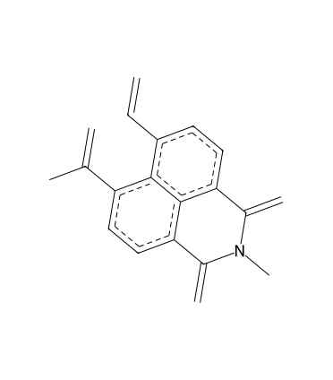 C=Cc1ccc2c3c(ccc(C(=C)C)c13)C(=C)N(C)C2=C